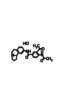 CC(=O)Nc1ccc(C(=O)Nc2ccc3c(c2)C2CCCN2CC3)cc1C(C)=O.Cl